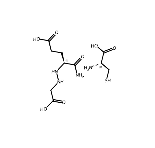 NC(=O)[C@H](CCC(=O)O)NNCC(=O)O.N[C@@H](CS)C(=O)O